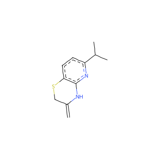 C=C1CSc2ccc(C(C)C)nc2N1